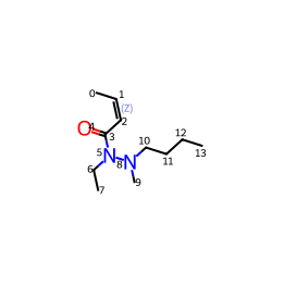 C/C=C\C(=O)N(CC)N(C)CCCC